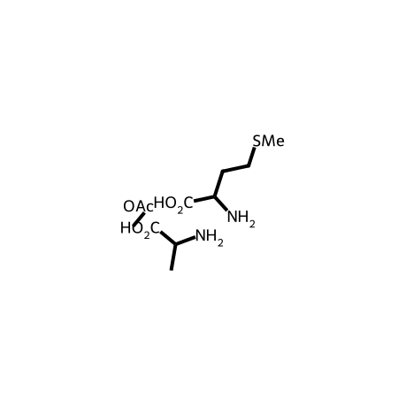 CC(N)C(=O)O.COC(C)=O.CSCCC(N)C(=O)O